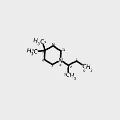 CCC(C)N1CCC(C)(C)CC1